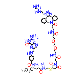 NCCNCCn1nnc2c1-c1ccccc1CN(C(=O)CCNC(=O)CCOCCOCCNC(=O)CCN1C(=O)CC(SCCNC(=O)CCC(NC(=O)c3ccc(NCc4cnc5nc(N)[nH]c(=O)c5n4)cc3)C(=O)O)C1=O)c1ccccc1-2